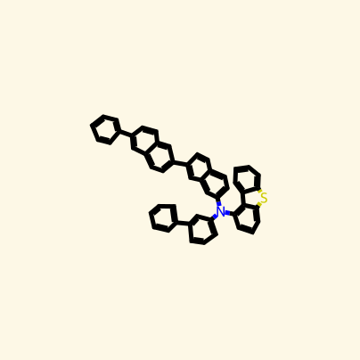 c1ccc(-c2cccc(N(c3ccc4ccc(-c5ccc6cc(-c7ccccc7)ccc6c5)cc4c3)c3cccc4sc5ccccc5c34)c2)cc1